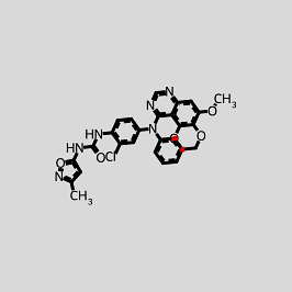 COc1cc2ncnc(N(c3ccccc3)c3ccc(NC(=O)Nc4cc(C)no4)c(Cl)c3)c2c2c1OCCO2